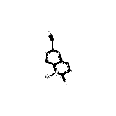 Cn1c(=O)c[c]c2nc(C#N)ccc21